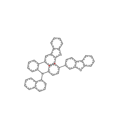 c1ccc(N(c2ccc(-c3ccc4c(c3)oc3ccccc34)cc2)c2cccc3ccccc23)c(-c2ccc3sc4ccccc4c3c2)c1